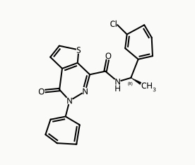 C[C@@H](NC(=O)c1nn(-c2ccccc2)c(=O)c2ccsc12)c1cccc(Cl)c1